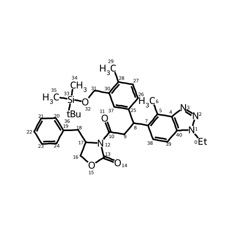 CCn1nnc2c(C)c(C(CC(=O)N3C(=O)OCC3Cc3ccccc3)c3ccc(C)c(CO[Si](C)(C)C(C)(C)C)c3)ccc21